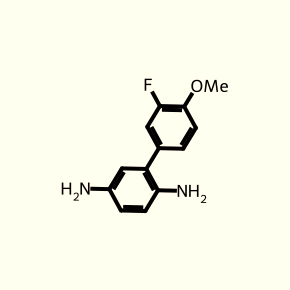 COc1ccc(-c2cc(N)ccc2N)cc1F